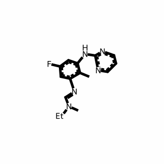 CCN(C)/C=N/c1cc(F)cc(Nc2ncccn2)c1C